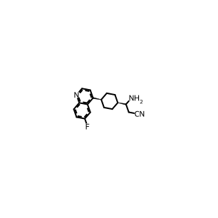 N#CCC(N)[C@H]1CC[C@@H](c2ccnc3ccc(F)cc32)CC1